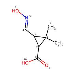 CC1(C)C(C=NO)C1C(=O)O